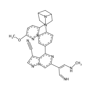 CN/C=C(\C=N)c1cn2ncc(C#N)c2c(-c2ccc(N3CC4CC(C3)N4Cc3ccc(OC)nc3)nc2)n1